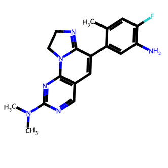 Cc1cc(F)c(N)cc1C1=Cc2cnc(N(C)C)nc2N2CCN=C12